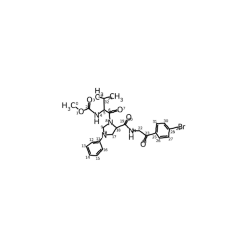 COC(=O)NC(C(=O)N1CN(c2ccccc2)CC1C(=O)NCC(=O)c1ccc(Br)cc1)C(C)C